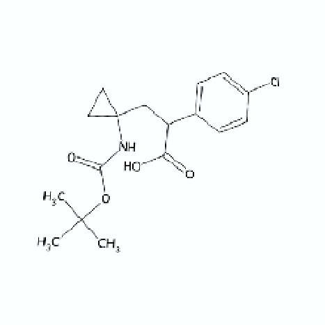 CC(C)(C)OC(=O)NC1(CC(C(=O)O)c2ccc(Cl)cc2)CC1